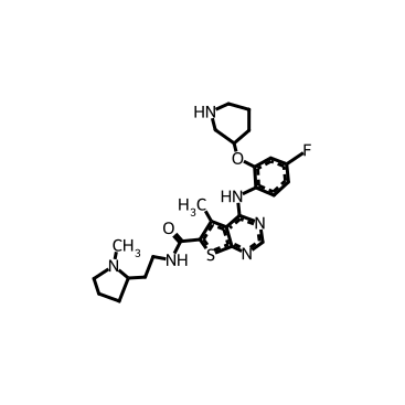 Cc1c(C(=O)NCCC2CCCN2C)sc2ncnc(Nc3ccc(F)cc3OC3CCCNC3)c12